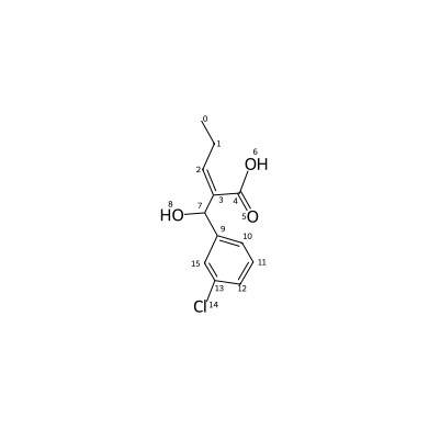 CCC=C(C(=O)O)C(O)c1cccc(Cl)c1